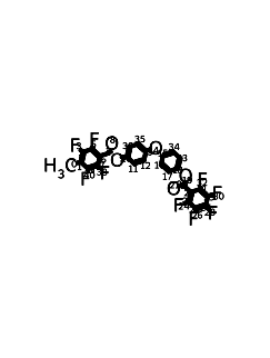 Cc1c(F)c(F)c(C(=O)Oc2ccc(Oc3ccc(OC(=O)c4c(F)c(F)c(F)c(F)c4F)cc3)cc2)c(F)c1F